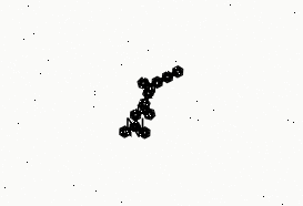 c1ccc(-c2ccc(-c3ccc(-n4c5ccccc5c5cc(-c6ccc7c(c6)c6ccccc6n7-c6cccc(-c7nc(-c8ccccc8)nc(-c8ccccc8)n7)c6)ccc54)cc3)cc2)cc1